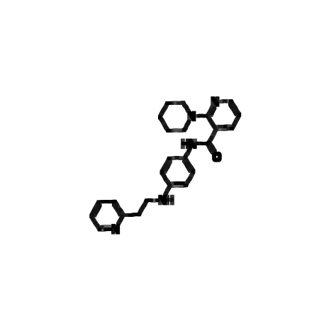 O=C(Nc1ccc(NCCc2ccccn2)cc1)c1cccnc1N1CCCCC1